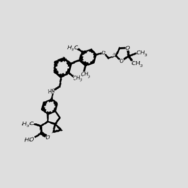 Cc1cc(OC[C@H]2COC(C)(C)O2)cc(C)c1-c1cccc(CNc2ccc3c(c2)CC2(CC2)C3C(C)C(=O)O)c1C